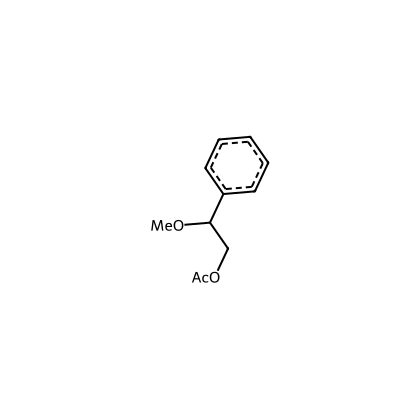 COC(COC(C)=O)c1ccccc1